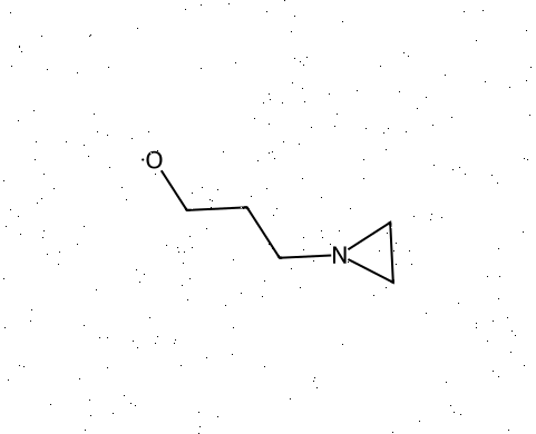 [O]CCCN1CC1